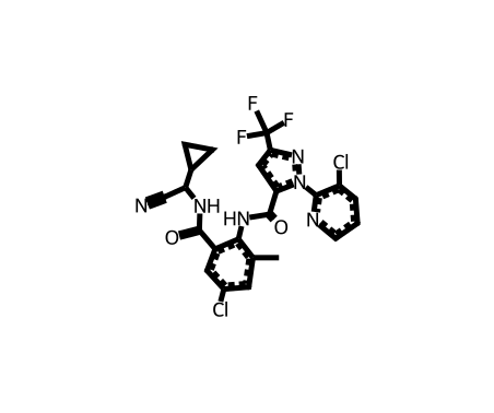 Cc1cc(Cl)cc(C(=O)NC(C#N)C2CC2)c1NC(=O)c1cc(C(F)(F)F)nn1-c1ncccc1Cl